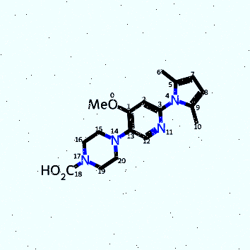 COc1cc(-n2c(C)ccc2C)ncc1N1CCN(C(=O)O)CC1